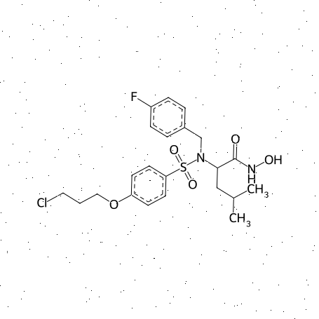 CC(C)CC(C(=O)NO)N(Cc1ccc(F)cc1)S(=O)(=O)c1ccc(OCCCCl)cc1